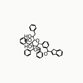 O=C(C1=Cc2ccccc2C1)c1cccc([C@@H]2O[C@H](C(O)Cc3ccccc3)[C@](O)(Cc3ccccc3)[C@@](O)(Cc3ccccc3)[C@]2(O)Cc2ccccc2)c1